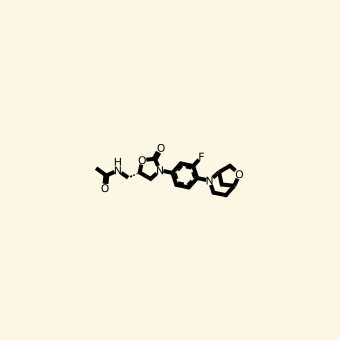 CC(=O)NC[C@H]1CN(c2ccc(N3CCC4CC3CO4)c(F)c2)C(=O)O1